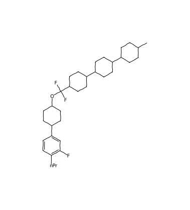 CCCc1ccc(C2CCC(OC(F)(F)C3CCC(C4CCC(C5CCC(C)CC5)CC4)CC3)CC2)cc1F